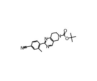 Cc1cc(C#N)ccc1-c1ncc2c(n1)CCN(C(=O)OC(C)(C)C)C2